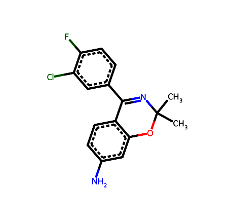 CC1(C)N=C(c2ccc(F)c(Cl)c2)c2ccc(N)cc2O1